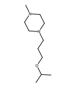 CC(C)OCCCN1CCN(C)CC1